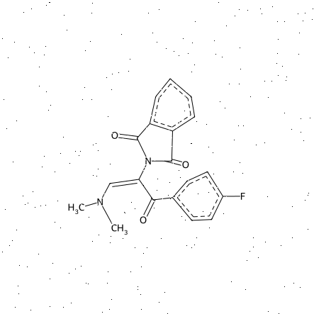 CN(C)C=C(C(=O)c1ccc(F)cc1)N1C(=O)c2ccccc2C1=O